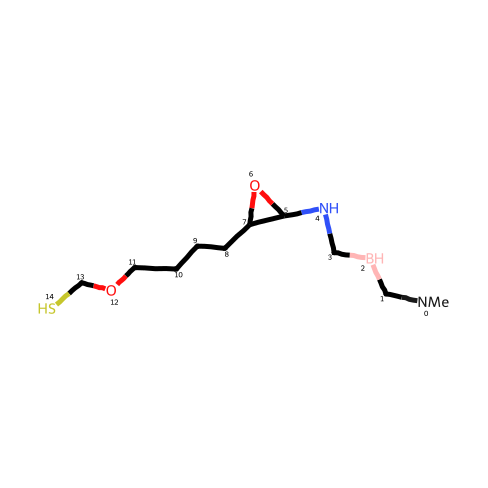 CNCBCNC1OC1CCCCOCS